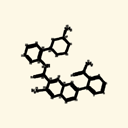 NC(=O)c1ccccc1C1=CC2N=C(C(=O)Nc3cnccc3N3CCC[C@H](N)C3)C(N)=CC2C=C1